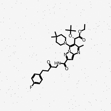 CCOC(=O)[C@@H](OC(C)(C)C)c1c(C)nc2cc(C(=O)NCC(=O)CCc3ccc(F)cc3)nn2c1N1CCC(C)(C)CC1